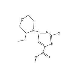 CCC1COCCN1c1cc(C(=O)OC)nc(Cl)n1